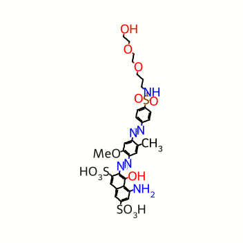 COc1cc(/N=N/c2ccc(S(=O)(=O)NCCCOCCOCCO)cc2)c(C)cc1/N=N/c1c(S(=O)(=O)O)cc2cc(S(=O)(=O)O)cc(N)c2c1O